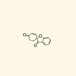 O=C1C=CC2(CC1)Oc1ccccc1C2=O